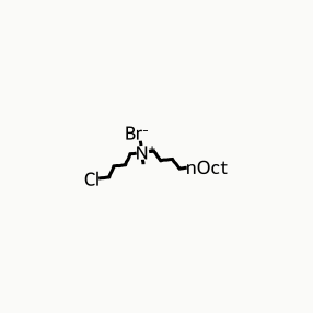 CCCCCCCCCCCC[N+](C)(C)CCCCCl.[Br-]